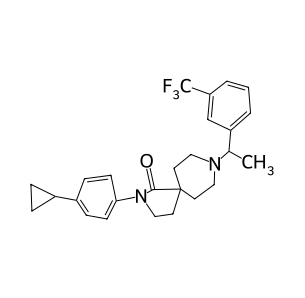 CC(c1cccc(C(F)(F)F)c1)N1CCC2(CCN(c3ccc(C4CC4)cc3)C2=O)CC1